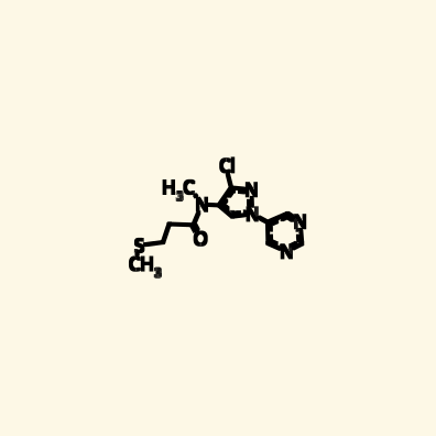 CSCCC(=O)N(C)c1cn(-c2cncnc2)nc1Cl